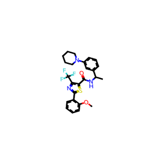 COc1ccccc1-c1nc(C(F)(F)F)c(C(=O)NC(C)c2cccc(N3CCCCC3)c2)s1